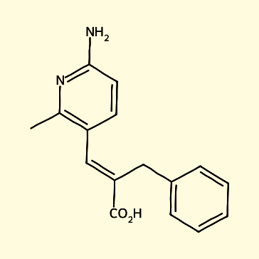 Cc1nc(N)ccc1C=C(Cc1ccccc1)C(=O)O